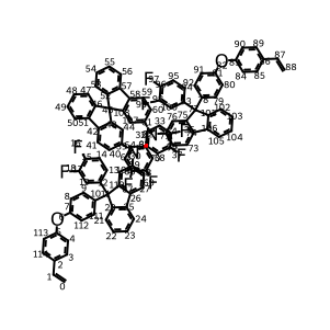 C=Cc1ccc(Oc2ccc(C3(c4ccc(F)c(F)c4)c4ccccc4-c4ccc(N(c5ccc(F)c(F)c5)c5ccc6c(c5)C5(c7ccccc7-6)c6ccccc6-c6ccc(N(c7ccc(F)c(F)c7)c7ccc8c(c7)C(c7ccc(Oc9ccc(C=C)cc9)cc7)(c7ccc(F)c(F)c7)c7ccccc7-8)cc65)cc43)cc2)cc1